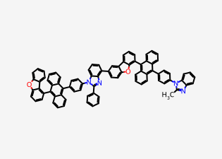 Cc1nc2ccccc2n1-c1ccc(-c2c3ccccc3c(-c3cccc4c3oc3ccc(-c5cccc6c5nc(-c5ccccc5)n6-c5ccc(-c6c7ccccc7c(-c7cccc8oc9ccccc9c78)c7ccccc67)cc5)cc34)c3ccccc23)cc1